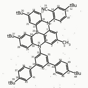 Cc1cc2c3c(c1)N(c1ccc(C(C)(C)C)cc1C#N)c1ccc(C(C)(C)C)cc1B3c1cc(C(C)(C)C)ccc1N2c1cc(-c2ccc(C(C)(C)C)cc2)cc(-c2ccc(C(C)(C)C)cc2)c1